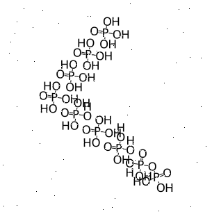 O=P(O)(O)O.O=P(O)(O)O.O=P(O)(O)O.O=P(O)(O)O.O=P(O)(O)O.O=P(O)(O)O.O=P(O)(O)O.O=P(O)(O)OP(=O)(O)O